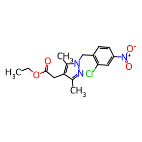 CCOC(=O)Cc1c(C)nn(Cc2ccc([N+](=O)[O-])cc2Cl)c1C